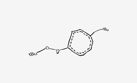 CC(C)(C)OOc1ccc(C(C)(C)C)cc1